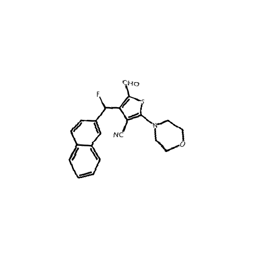 N#Cc1c(N2CCOCC2)sc(C=O)c1C(F)c1ccc2ccccc2c1